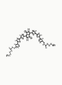 CC(C)CCCC(C)CCc1csc(-c2ccc(-c3cnc(C4=C5C(=O)NC(c6ncc(-c7ccc(-c8cc(CCC(C)CCCC(C)C)cs8)s7)s6)=C5C(=O)N4)s3)s2)c1